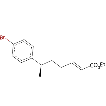 CCOC(=O)/C=C/CC[C@@H](C)c1ccc(Br)cc1